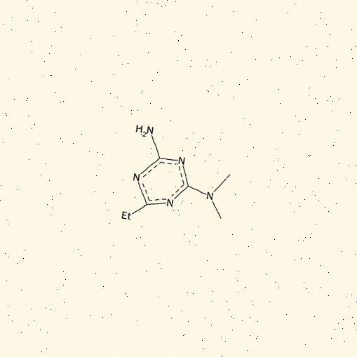 CCc1nc(N)nc(N(C)C)n1